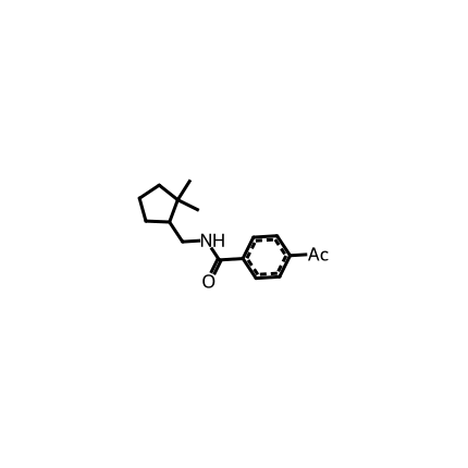 CC(=O)c1ccc(C(=O)NCC2CCCC2(C)C)cc1